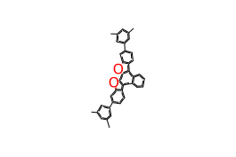 Cc1cc(C)cc(-c2ccc3c(c2)oc2c4oc5cc(-c6cc(C)cc(C)c6)ccc5c4c4ccccc4c32)c1